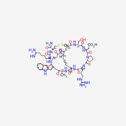 C[C@@H]1NC(=O)[C@@H]2CCCC[C@H](NC(=O)CN)C(=O)C[C@@H](CSSC[C@@H](C(N)=O)NC(=O)[C@H](CCCCC(=N)N)NC(=O)[C@H](Cc3cc4ccccc4[nH]3)CC1=O)C(=O)N[C@@H](CO)C(=O)N[C@@H](CC(=O)O)C(=O)N1CCCC1C(=O)N[C@@H](CCCNC(=N)N)C(=O)N2